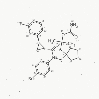 CC(C)(CC1(CN(C(=O)[C@@H]2C[C@H]2c2cccc(F)n2)c2ccc(Br)cc2)CCCC1)OC(N)=O